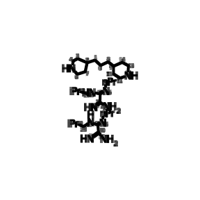 C(CC1CCNCC1)CC1CCNCC1.CCCN=C(NCC(C)C)C(=N)N.CCCN=C(NCC(C)C)C(=N)N